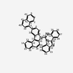 c1ccc2c(-c3ccc4c(c3)c3c5ccccc5ccc3n4-c3nc4ccccc4c4nc5ccccc5n34)cccc2c1